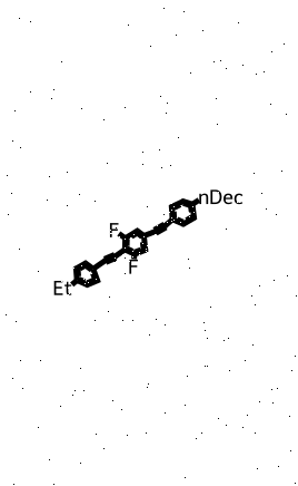 CCCCCCCCCCc1ccc(C#Cc2cc(F)c(C#Cc3ccc(CC)cc3)c(F)c2)cc1